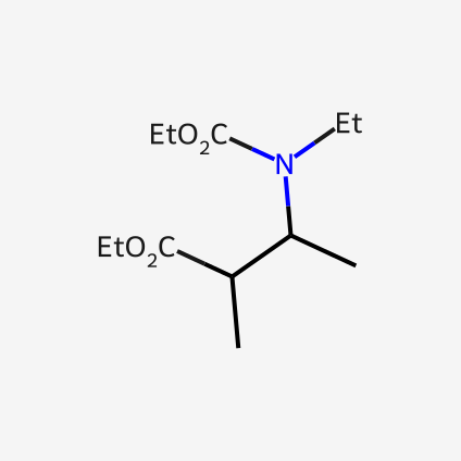 CCOC(=O)C(C)C(C)N(CC)C(=O)OCC